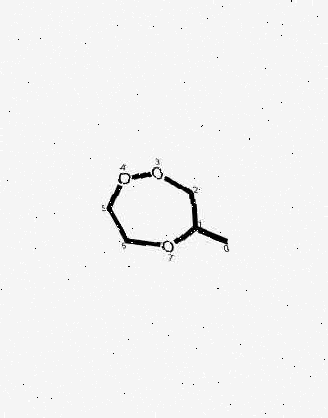 CC1COOCCO1